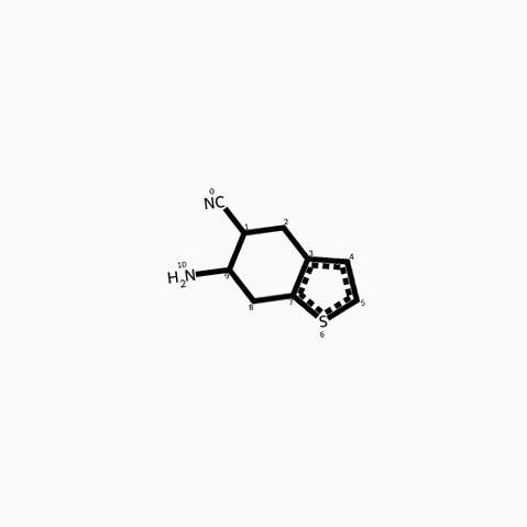 N#CC1Cc2ccsc2CC1N